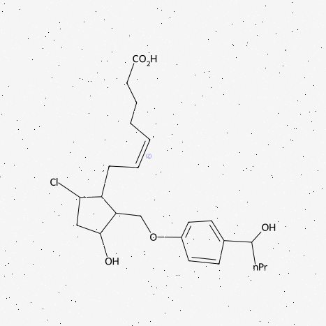 CCCC(O)c1ccc(OCC2C(O)CC(Cl)C2C/C=C\CCCC(=O)O)cc1